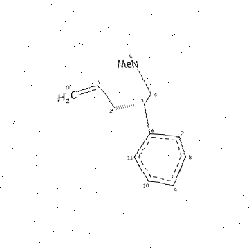 C=CC[C@H](CNC)c1ccccc1